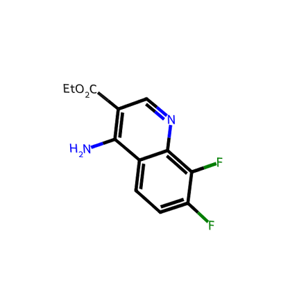 CCOC(=O)c1cnc2c(F)c(F)ccc2c1N